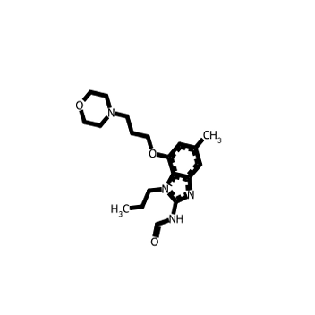 CCCn1c(NC=O)nc2cc(C)cc(OCCCN3CCOCC3)c21